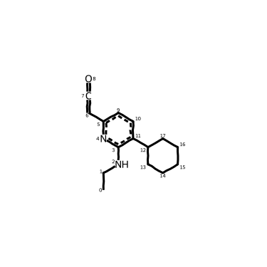 CCNc1nc(C=C=O)ccc1C1CCCCC1